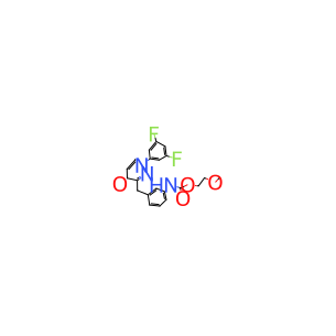 COCCOC(=O)Nc1cccc(Cc2nn(-c3cc(F)cc(F)c3)ccc2=O)c1